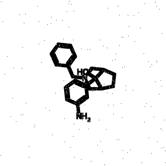 Nc1cccc(C2(O)C3CCC2CN(Cc2ccccc2)C3)c1